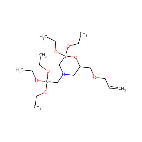 C=CCOCC1CN(C[Si](OCC)(OCC)OCC)C[Si](OCC)(OCC)O1